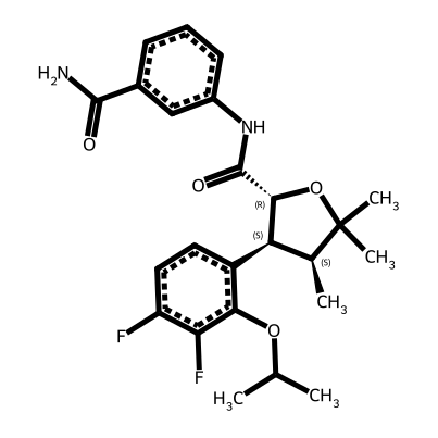 CC(C)Oc1c([C@H]2[C@H](C(=O)Nc3cccc(C(N)=O)c3)OC(C)(C)[C@H]2C)ccc(F)c1F